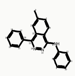 Cc1ccc2c(Nc3ccccc3)nnc(-c3ccccc3)c2c1